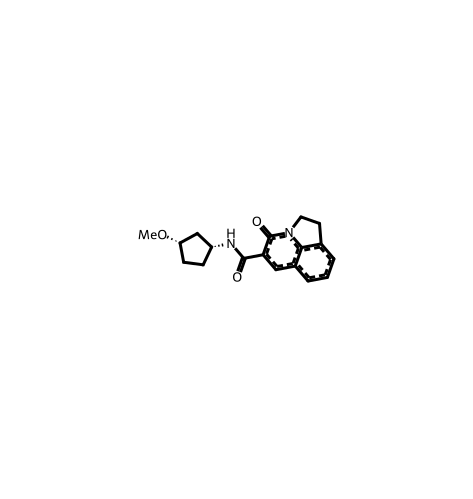 CO[C@H]1CC[C@@H](NC(=O)c2cc3cccc4c3n(c2=O)CC4)C1